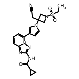 CCS(=O)(=O)N1CC(CC#N)(n2ccc(-c3cccc4nc(NC(=O)C5CC5)nn34)c2)C1